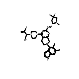 C=C(F)C(O)N1CCN(c2nc(OC[C@@H]3CC(F)(F)CN3C)nc3c2CCN(c2c(C)c(C)cc4[nH]ccc24)C3)CC1